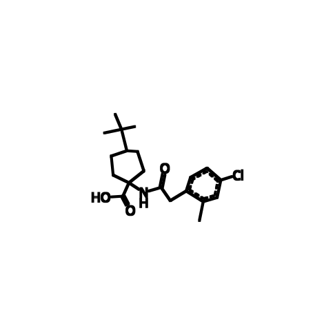 Cc1cc(Cl)ccc1CC(=O)NC1(C(=O)O)CCC(C(C)(C)C)CC1